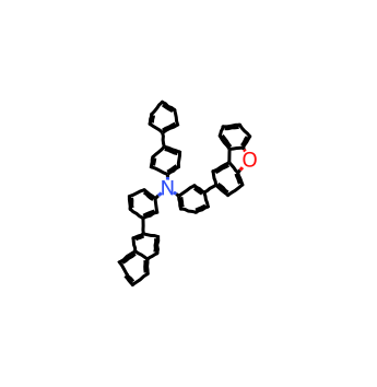 c1ccc(-c2ccc(N(c3cccc(-c4ccc5ccccc5c4)c3)c3cccc(-c4ccc5oc6ccccc6c5c4)c3)cc2)cc1